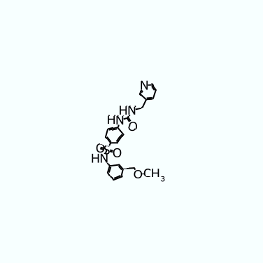 COCc1cccc(NS(=O)(=O)c2ccc(NC(=O)NCc3cccnc3)cc2)c1